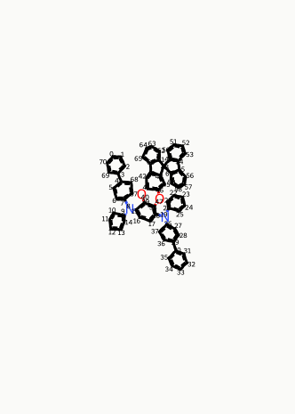 c1ccc(-c2ccc(N(c3ccccc3)c3ccc(N(c4ccccc4)c4ccc(-c5ccccc5)cc4)c4c3Oc3cc5c(cc3O4)C3(c4ccccc4-c4ccccc43)c3ccccc3-5)cc2)cc1